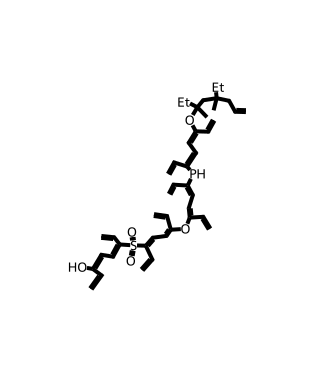 C=CCC(C)(CC)CC(C)(CC)O/C(C=C)=C/C=C(\C=C)P/C(C=C)=C/C=C(\C=C)O/C(C=C)=C/C=C(\C=C)S(=O)(=O)/C(C=C)=C/C=C(/O)C=C